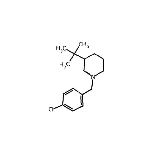 CC(C)(C)C1CCCN(Cc2ccc(Cl)cc2)C1